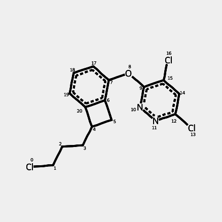 ClCCCC1Cc2c(Oc3nnc(Cl)cc3Cl)cccc21